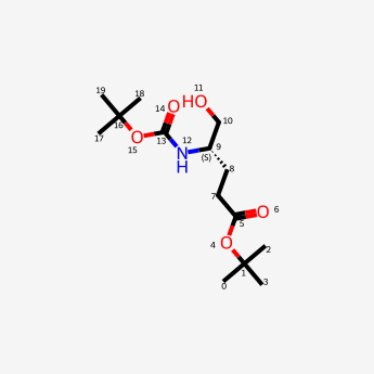 CC(C)(C)OC(=O)CC[C@@H](CO)NC(=O)OC(C)(C)C